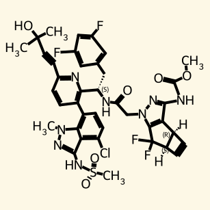 COC(=O)Nc1nn(CC(=O)N[C@@H](Cc2cc(F)cc(F)c2)c2nc(C#CC(C)(C)O)ccc2-c2ccc(Cl)c3c(NS(C)(=O)=O)nn(C)c23)c2c1[C@H]1C#C[C@H]1C2(F)F